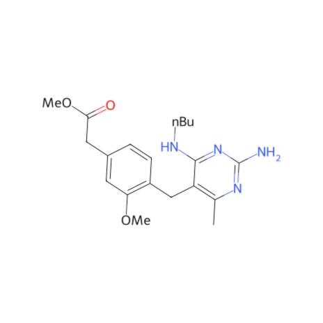 CCCCNc1nc(N)nc(C)c1Cc1ccc(CC(=O)OC)cc1OC